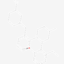 CCc1cccc(CC)c1C1CC(C)CCN1c1ncncc1CN1CCCC(OC)C1